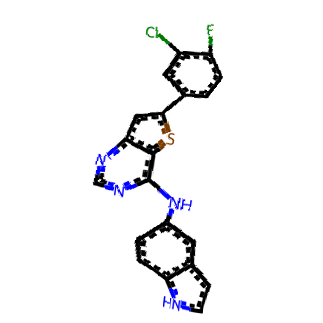 Fc1ccc(-c2cc3ncnc(Nc4ccc5[nH]ccc5c4)c3s2)cc1Cl